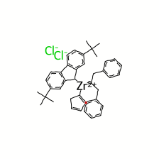 CC(C)(C)c1ccc2c(c1)[CH]([Zr+2]([C]1=CC=CC1)=[C](Cc1ccccc1)Cc1ccccc1)c1cc(C(C)(C)C)ccc1-2.[Cl-].[Cl-]